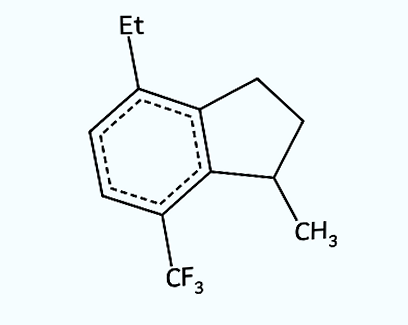 CCc1ccc(C(F)(F)F)c2c1CCC2C